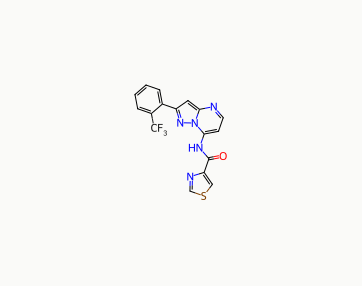 O=C(Nc1ccnc2cc(-c3ccccc3C(F)(F)F)nn12)c1cscn1